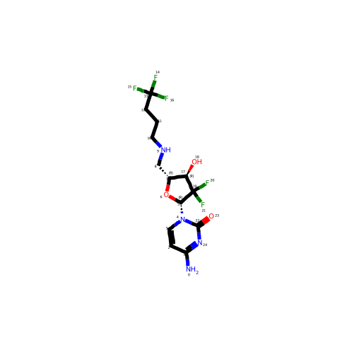 Nc1ccn([C@@H]2O[C@H](CNCCCC(F)(F)F)[C@@H](O)C2(F)F)c(=O)n1